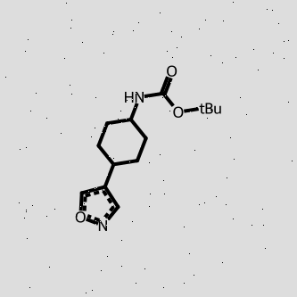 CC(C)(C)OC(=O)NC1CCC(c2cnoc2)CC1